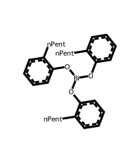 CCCCCc1ccccc1[O][Bi]([O]c1ccccc1CCCCC)[O]c1ccccc1CCCCC